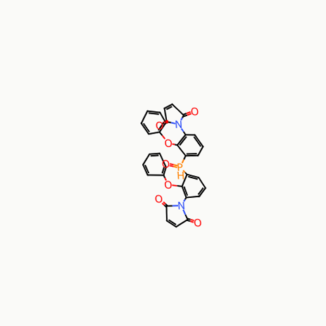 O=C1C=CC(=O)N1c1cccc([PH](=O)c2cccc(N3C(=O)C=CC3=O)c2Oc2ccccc2)c1Oc1ccccc1